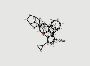 COC(=O)c1nsc2cc(N3C4CCC3CC(OCc3c(-c5ccccc5OC(F)(F)F)noc3C3CC3)C4)ccc12